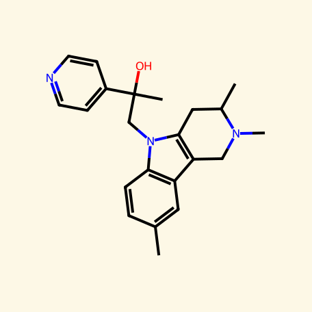 Cc1ccc2c(c1)c1c(n2CC(C)(O)c2ccncc2)CC(C)N(C)C1